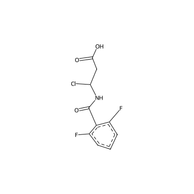 O=C(O)CC(Cl)NC(=O)c1c(F)cccc1F